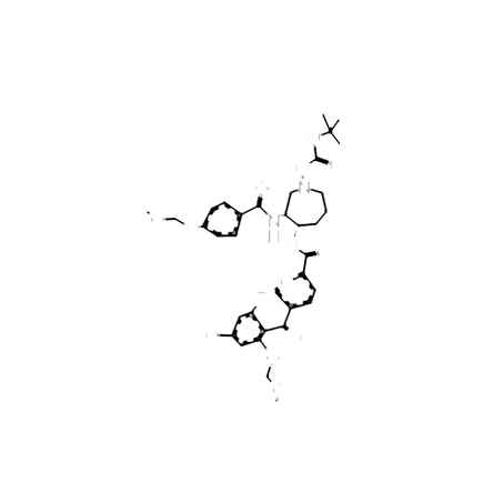 COCOc1ccc(C(=O)N[C@@H]2CN(OC(=O)OC(C)(C)C)CCC[C@H]2OC(=O)c2ccc(C(=O)c3c(F)cc(OC)cc3OCOC)cc2)cc1